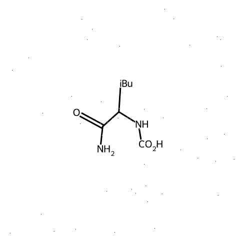 CCC(C)C(NC(=O)O)C(N)=O